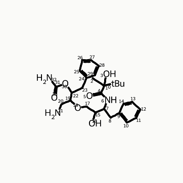 CC(C)(C)C(C)(O)C(=O)NC(Cc1ccccc1)C(O)COC(CN)C(Cc1ccccc1)OC(N)=O